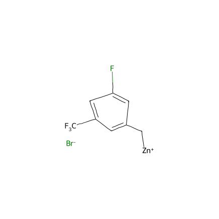 Fc1cc([CH2][Zn+])cc(C(F)(F)F)c1.[Br-]